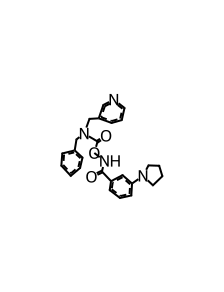 O=C(NOC(=O)N(Cc1ccccc1)Cc1cccnc1)c1cccc(N2CCCC2)c1